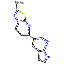 CC(=O)Nc1nc2ccc(-c3cnc4[nH]ccc4c3)nc2s1